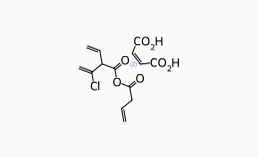 C=CCC(=O)OC(=O)C(C=C)C(=C)Cl.O=C(O)/C=C\C(=O)O